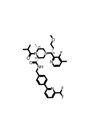 COCC[C@H](c1nccc(C)c1F)N1C[C@@H](C)N(C(=O)C(C)C)[C@@H](C(=O)NCc2ccc(-c3cccc(C(F)F)n3)cc2)C1